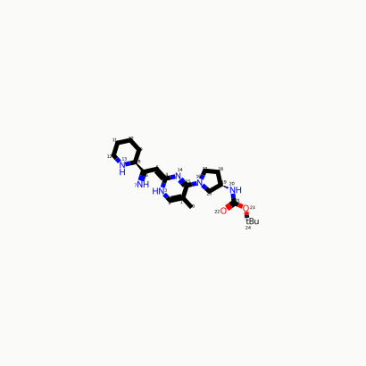 CC1=CN/C(=C\C(=N)[C@@H]2CCCCN2)N=C1N1CC[C@H](NC(=O)OC(C)(C)C)C1